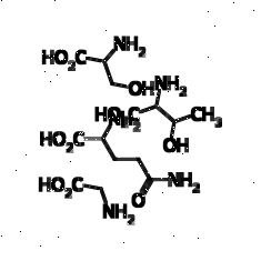 CC(O)C(N)C(=O)O.NC(=O)CCC(N)C(=O)O.NC(CO)C(=O)O.NCC(=O)O